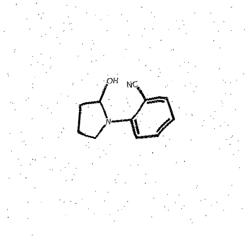 N#Cc1ccccc1N1CCCC1O